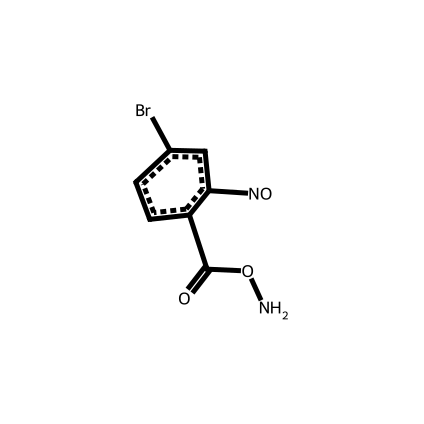 NOC(=O)c1ccc(Br)cc1N=O